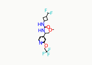 COCC(NC(=O)NC1CC(C(F)F)C1)c1ccnc(OCC(F)(F)F)c1